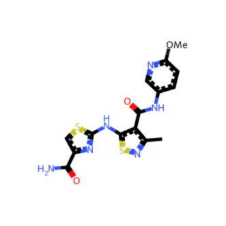 COc1ccc(NC(=O)c2c(C)nsc2Nc2nc(C(N)=O)cs2)cn1